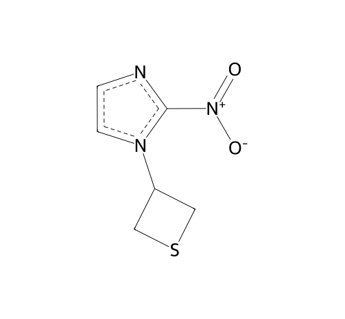 O=[N+]([O-])c1nccn1C1CSC1